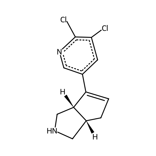 Clc1cc(C2=CC[C@@H]3CNC[C@H]23)cnc1Cl